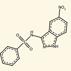 O=[N+]([O-])c1ccc2[nH]nc(NS(=O)(=O)c3ccccc3)c2c1